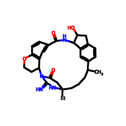 CCC12CCCC(C)c3ccc4c(c3)C(NC(=O)c3ccc5c(c3)C(CCO5)N(C(=N)N1)C(=O)C2)C(O)C4